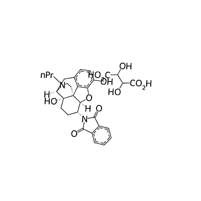 CCCN1CC[C@]23c4c5ccc(O)c4O[C@H]2[C@H](N2C(=O)c4ccccc4C2=O)CC[C@@]3(O)[C@H]1C5.O=C(O)C(O)C(O)C(=O)O